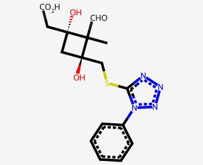 CC1(C=O)[C@](O)(CSc2nnnn2-c2ccccc2)C[C@@]1(O)CC(=O)O